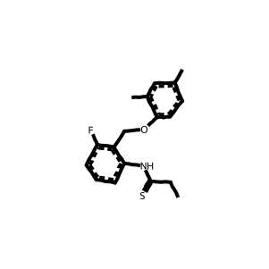 CCC(=S)Nc1cccc(F)c1COc1ccc(C)cc1C